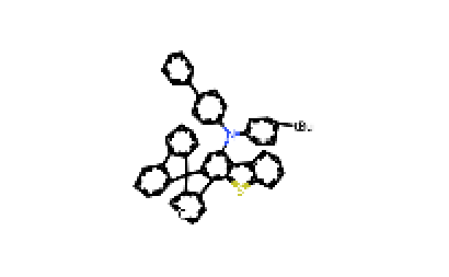 CC(C)(C)c1ccc(N(c2ccc(-c3ccccc3)cc2)c2cc3c(c4sc5ccccc5c24)-c2ccccc2C32c3ccccc3-c3ccccc32)cc1